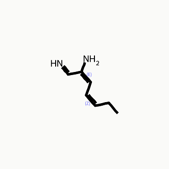 CC/C=C\C=C(\N)C=N